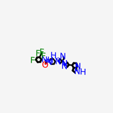 NCC1(n2cc(-c3ccnc4[nH]ccc34)cn2)CN(C2CCN(C(=O)Nc3ccc(F)cc3C(F)(F)F)CC2)C1